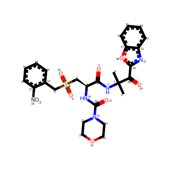 CC(C)(NC(=O)[C@H](CS(=O)(=O)Cc1ccccc1[N+](=O)[O-])NC(=O)N1CCOCC1)C(=O)c1nc2ccccc2o1